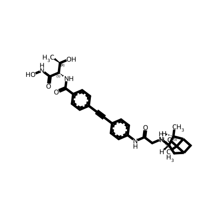 C[C@@H](O)[C@H](NC(=O)c1ccc(C#Cc2ccc(NC(=O)CN[C@H]3CC4CC([C@@H]3C)C4(C)C)cc2)cc1)C(=O)NO